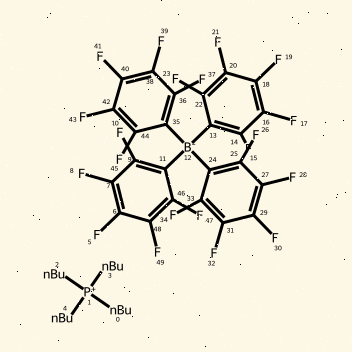 CCCC[P+](CCCC)(CCCC)CCCC.Fc1c(F)c(F)c([B-](c2c(F)c(F)c(F)c(F)c2F)(c2c(F)c(F)c(F)c(F)c2F)c2c(F)c(F)c(F)c(F)c2F)c(F)c1F